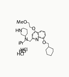 COCCOc1cc(CN(C(C)C)[C@@H]2CCCNC2)nc2c(OCC3CCCCC3)cccc12.Cl.Cl.Cl